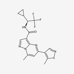 Cc1sncc1-c1cc(C)n2ncc(C(=O)N[C@@H](C3CC3)C(F)(F)F)c2n1